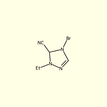 CCN1N=CN(Br)C1C#N